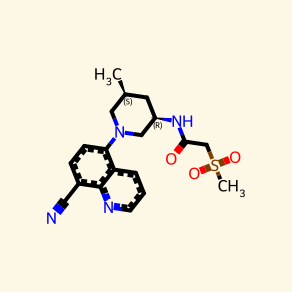 C[C@H]1C[C@@H](NC(=O)CS(C)(=O)=O)CN(c2ccc(C#N)c3ncccc23)C1